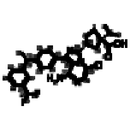 CC(C)[C@@]1(C(=O)O)CC[C@@H](c2nc(-c3ccc([C@H](C)c4cccc(C(F)F)c4)cc3)c3c(N)ncc(Cl)n23)C1